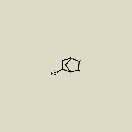 O[C@H]1CN2CCC1C2